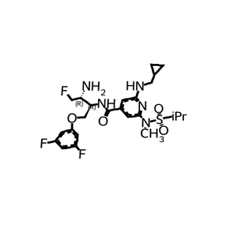 CC(C)S(=O)(=O)N(C)c1cc(C(=O)N[C@@H](COc2cc(F)cc(F)c2)[C@@H](N)CF)cc(NCC2CC2)n1